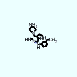 C=Cc1cccc(N/C(=N/C=N)c2[nH]ccc2CN2CCC(N)CC2)c1